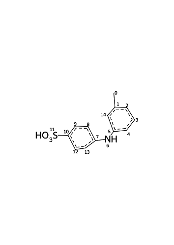 Cc1cccc(Nc2ccc(S(=O)(=O)O)cc2)c1